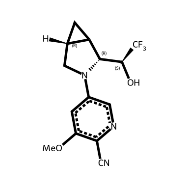 COc1cc(N2C[C@@H]3CC3[C@@H]2[C@H](O)C(F)(F)F)cnc1C#N